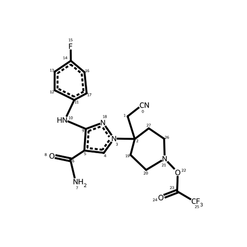 N#CCC1(n2cc(C(N)=O)c(Nc3ccc(F)cc3)n2)CCN(OC(=O)C(F)(F)F)CC1